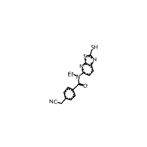 CCN(C(=O)c1ccc(CC#N)cc1)c1ccc2nc(S)sc2n1